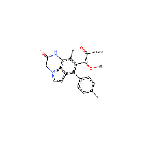 COC(=O)[C@@H](OC(C)(C)C)c1c(C)c2c3c(ccn3CC(=O)N2)c1-c1ccc(C)cc1